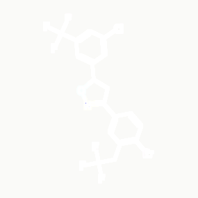 FC(F)(F)Cc1cc(C2=NOC(c3cc(Cl)cc(C(F)(F)F)c3)C2)ccc1Br